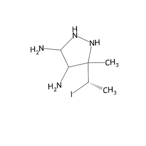 C[C@H](I)C1(C)NNC(N)C1N